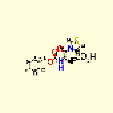 CC(C)[C@H](NC(=O)OCc1ccccc1)C(=O)N1CSC[C@H]1C(=O)O